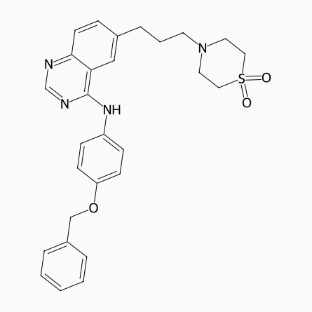 O=S1(=O)CCN(CCCc2ccc3ncnc(Nc4ccc(OCc5ccccc5)cc4)c3c2)CC1